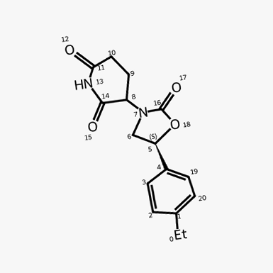 CCc1ccc([C@H]2CN(C3CCC(=O)NC3=O)C(=O)O2)cc1